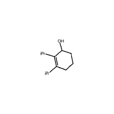 CC(C)C1=C(C(C)C)C(O)CCC1